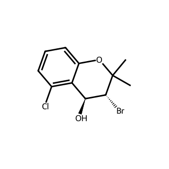 CC1(C)Oc2cccc(Cl)c2[C@H](O)[C@H]1Br